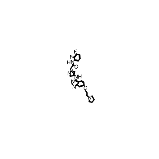 O=C(Cn1cc(Nc2ncnc3cc(OCCCN4CCCC4)ccc23)cn1)Nc1cccc(F)c1F